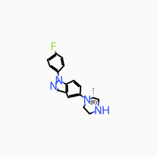 C[C@@H]1CNCCN1c1ccc2c(cnn2-c2ccc(F)cc2)c1